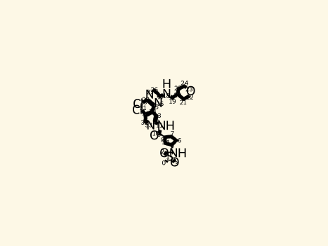 CS(=O)(=O)N[C@@H]1CC[C@H](C(=O)Nc2cc(-c3nc(NCC4CCOCC4)cnc3Cl)c(Cl)cn2)C1